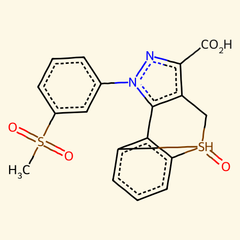 CS(=O)(=O)c1cccc(-n2nc(C(=O)O)c3c2-c2c4cccc2[SH]4(=O)C3)c1